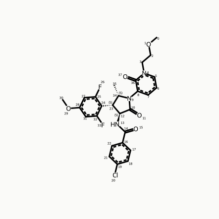 COCCn1cccc(N2C(=O)[C@@H](NC(=O)c3ccc(Cl)cc3)[C@H](c3c(F)cc(OC)cc3F)[C@@H]2C)c1=O